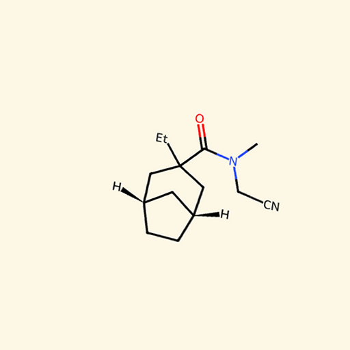 CCC1(C(=O)N(C)CC#N)C[C@@H]2CC[C@@H](C2)C1